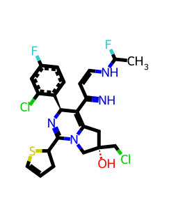 CC(F)N/C=C\C(=N)C1=C2C[C@@](O)(CCl)CN2C(C2CC=CS2)=N[C@H]1c1ccc(F)cc1Cl